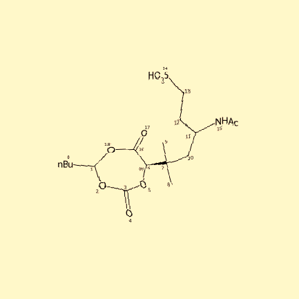 CCCCC1OC(=O)O[C@H](C(C)(C)CC(CCS(=O)(=O)O)NC(C)=O)C(=O)O1